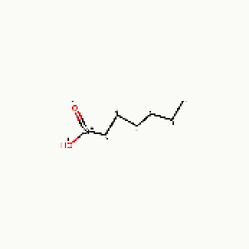 CCCCCC[Si](=O)O